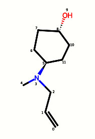 C=CCN(C)[C@H]1CC[C@H](O)CC1